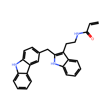 C=CC(=O)NCCc1c(Cc2ccc3[nH]c4ccccc4c3c2)[nH]c2ccccc12